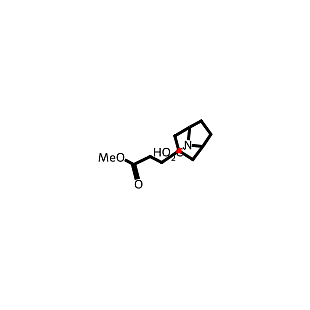 COC(=O)CCC1CC2CCC(C1)N2C(=O)O